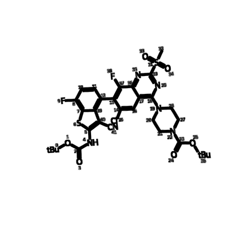 CC(C)(C)OC(=O)Nc1sc2c(F)ccc(-c3c(Cl)cc4c(N5CCN(C(=O)OC(C)(C)C)CC5)nc(S(C)(=O)=O)nc4c3F)c2c1C#N